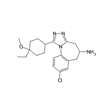 CCC1(OC)CCC(c2nnc3n2-c2ccc(Cl)cc2CC(N)C3)CC1